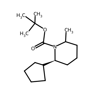 CC1CCC[C@@H](C2CCCC2)N1C(=O)OC(C)(C)C